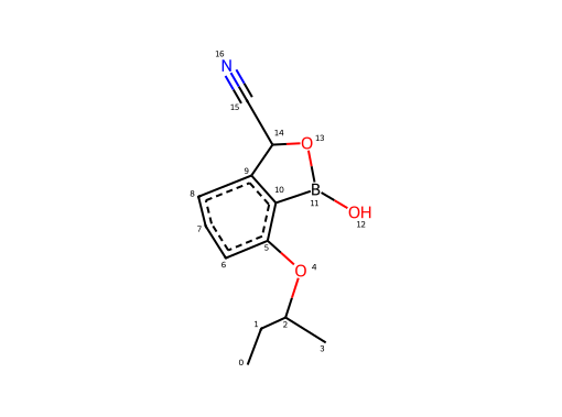 CCC(C)Oc1cccc2c1B(O)OC2C#N